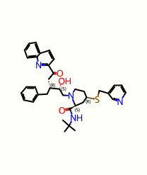 CC(C)(C)NC(=O)[C@@H]1C[C@H](SCc2cccnc2)CCN1C[C@@H](O)[C@@H](CC(=O)c1ccc2ccccc2n1)Cc1ccccc1